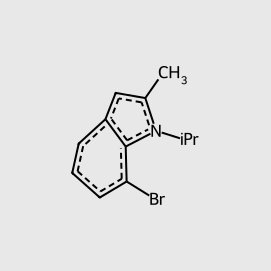 Cc1cc2cccc(Br)c2n1C(C)C